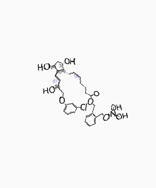 O=C(CCC/C=C\C[C@@H]1[C@@H](/C=C/[C@@H](O)COc2cccc(Cl)c2)[C@H](O)C[C@@H]1O)OCc1ccccc1CON(O)O